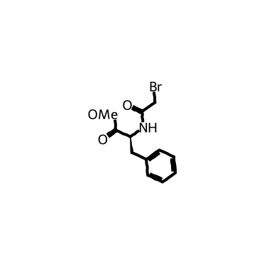 COC(=O)[C@H](Cc1ccccc1)NC(=O)CBr